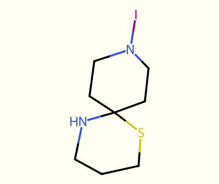 IN1CCC2(CC1)NCCCS2